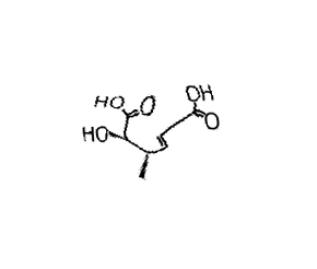 C[C@H](C=CC(=O)O)[C@@H](O)C(=O)O